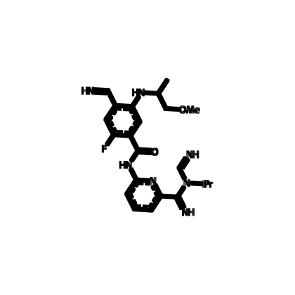 COCC(C)Nc1cc(C(=O)Nc2cccc(C(=N)N(C=N)C(C)C)n2)c(F)cc1C=N